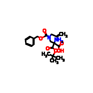 C=CCN(CC(N)(C(=O)O)C(=O)OC(C)(C)C)C(=O)OCc1ccccc1